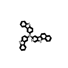 c1ccc2c(c1)ccc1c3cc(N(c4ccc5sc6ccccc6c5c4)c4ccc5sc6ccccc6c5c4)ncc3sc21